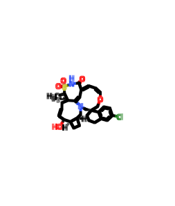 C[C@@H]1[C@@]2(C)C/C=C/[C@H](O)[C@@H]3CC[C@H]3CN3C[C@@]4(CCCc5cc(Cl)ccc54)COC=CC=C(C=C32)C(=O)NS1(=O)=O